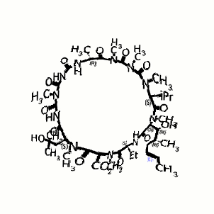 C/C=C/C[C@@H](C)[C@@H](O)[C@H]1C(=O)N[C@@H](CC)C(=O)N(C)C(C(=O)O)C(=O)N(C)[C@@H](CC(C)(C)O)C(=O)NC(=O)N(C)C(=O)NC(=O)N[C@H](C)C(=O)N(C)C(=O)N(C)C(=O)N(C)[C@@H](C(C)C)C(=O)N1C